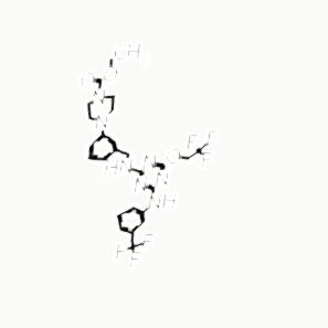 CCOC(=O)N1CCN(c2cccc(CNc3nc(Nc4cccc(C(F)(F)F)c4)nc(OCC(F)(F)F)n3)c2)CC1